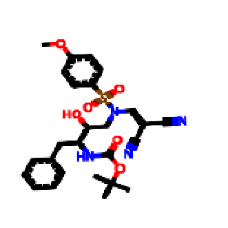 COc1ccc(S(=O)(=O)N(C=C(C#N)C#N)CC(O)C(Cc2ccccc2)NC(=O)OC(C)(C)C)cc1